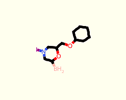 BC1CN(I)CC(COC2CCCCC2)O1